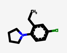 CCc1cc(Cl)ccc1N1CCCC1